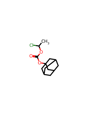 CC(Cl)OC(=O)OC12CC3CC(CC(C3)C1)C2